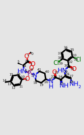 COC(=O)[C@H](C)NP(=O)(Oc1ccc(C)cc1)N1CCC(NC(=O)C(=N)/C(=C\N)NC(=O)c2c(Cl)cccc2Cl)CC1